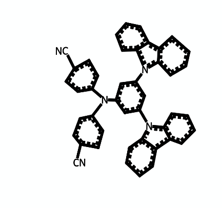 N#Cc1ccc(N(c2ccc(C#N)cc2)c2cc(-n3c4ccccc4c4ccccc43)cc(-n3c4ccccc4c4ccccc43)c2)cc1